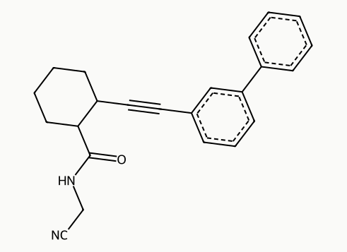 N#CCNC(=O)C1CCCCC1C#Cc1cccc(-c2ccccc2)c1